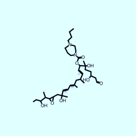 CCCCN1CCCN(C(=O)OC(/C=C/C(C)C/C(C)=C/C=C/C(C)(O)CC2OC2C(C)C(O)CC)C(C)(O)CCC(O)CC=O)CC1